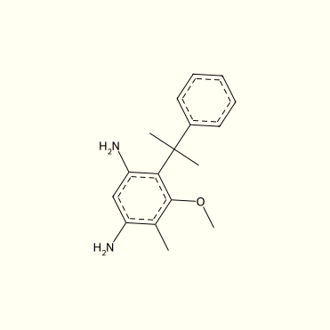 COc1c(C)c(N)cc(N)c1C(C)(C)c1ccccc1